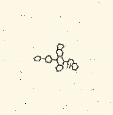 c1ccc(-c2ccc(-c3c4ccccc4c(-c4ccc5ccccc5n4)c4cc5ccccc5cc34)cc2)cc1